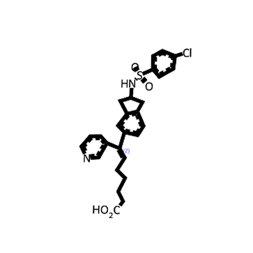 O=C(O)CCCC/C=C(\c1cccnc1)c1ccc2c(c1)CC(NS(=O)(=O)c1ccc(Cl)cc1)C2